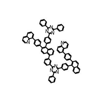 c1ccc(-c2nc(-c3ccccc3)nc(-c3ccc(-c4c(-c5ccc(-c6cccc7cccnc67)cc5)ccc5c(-c6cccc(-c7nc(-c8ccccc8)nc(-c8ccc(-c9c(-c%10ccc(-c%11cccc%12ncccc%11%12)cc%10)ccc%10ccccc9%10)cc8)n7)c6)cccc45)cc3)n2)cc1